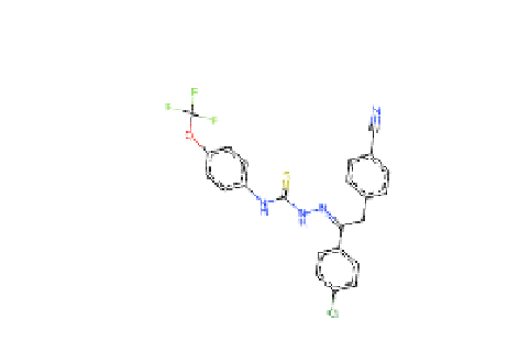 N#Cc1ccc(CC(=NNC(=S)Nc2ccc(OC(F)(F)F)cc2)c2ccc(Cl)cc2)cc1